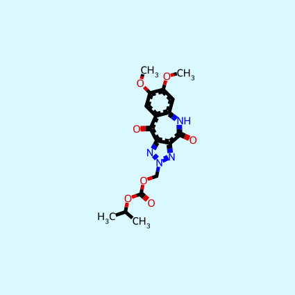 COc1cc2[nH]c(=O)c3nn(COC(=O)OC(C)C)nc3c(=O)c2cc1OC